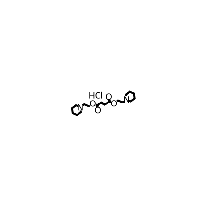 Cl.O=C(/C=C/C(=O)OCCN1CCCCC1)OCCN1CCCCC1